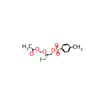 CC(=O)OCO[C@@H](CF)COS(=O)(=O)c1ccc(C)cc1